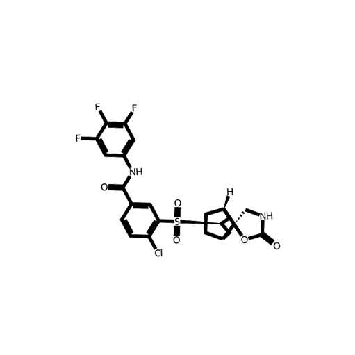 O=C1NC[C@]2(O1)C1CC[C@H]2C[C@H](S(=O)(=O)c2cc(C(=O)Nc3cc(F)c(F)c(F)c3)ccc2Cl)C1